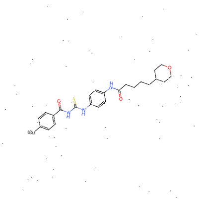 CC(C)(C)c1ccc(C(=O)NC(=S)Nc2ccc(NC(=O)CCCCC3CCOCC3)cc2)cc1